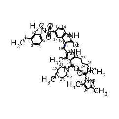 CCc1cccc(N(C)S(=O)(=O)c2ccc3c(c2)/C(=C/c2[nH]c(CCCN(C)C(=O)n4nc(C)cc4C)c(C(=O)N4CCN(C)CC4)c2C)C(=O)N3)c1